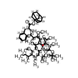 CC[C@H](C)[C@@H]([C@@H](CC(=O)N1CCC[C@H]1[C@H](OC)[C@@H](C)C(=O)N[C@@H](Cc1ccccc1)C(=O)OC12CC3CC(CC(C3)C1)C2)OC)N(C)[C@H](C(=O)NC(=O)[C@H](C(C)C)N(C)C(=O)OC(C)(C)C)C(C)C